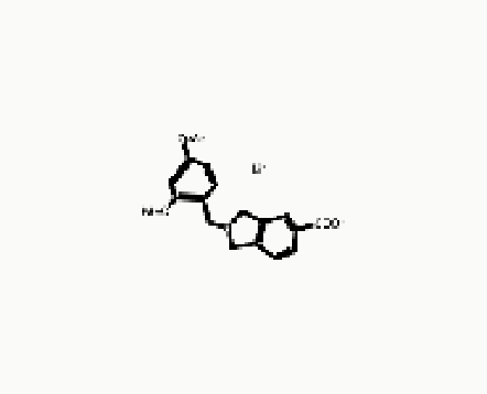 COc1ccc(CN2Cc3ccc(C(=O)[O-])cc3C2)c(OC)c1.[Li+]